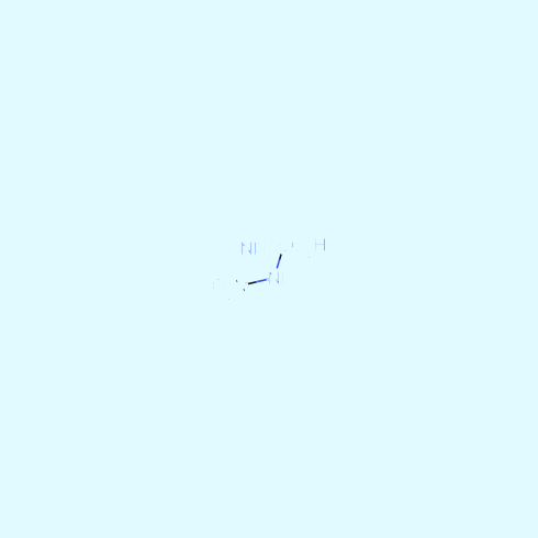 N.O=C(O)N[N+](=O)[O-]